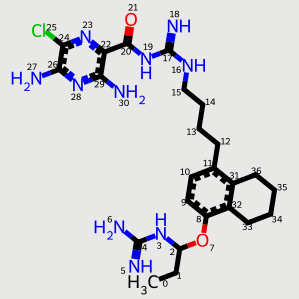 CCC(NC(=N)N)Oc1ccc(CCCCNC(=N)NC(=O)c2nc(Cl)c(N)nc2N)c2c1CCCC2